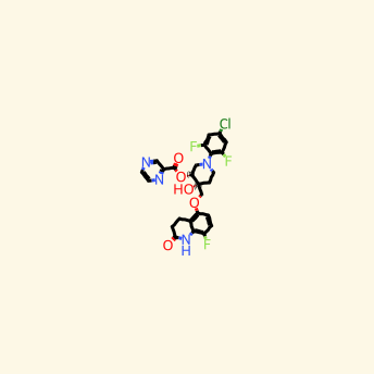 O=C1CCc2c(OC[C@]3(O)CCN(c4c(F)cc(Cl)cc4F)C[C@H]3OC(=O)c3cnccn3)ccc(F)c2N1